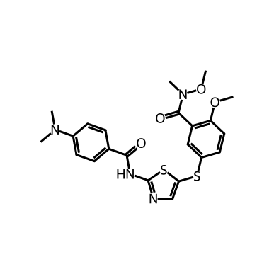 COc1ccc(Sc2cnc(NC(=O)c3ccc(N(C)C)cc3)s2)cc1C(=O)N(C)OC